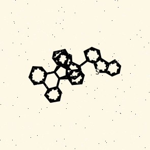 c1ccc2c(c1)-c1ccccc1C13c4ccccc4-c4ccccc4C21c1cccc2c(-c4cccc5c4sc4ccccc45)ccc3c12